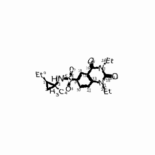 CC[C@@H]1C[C@@]1(C)NS(=O)(=O)c1ccc2c(c1)c(=O)n(CC)c(=O)n2CC